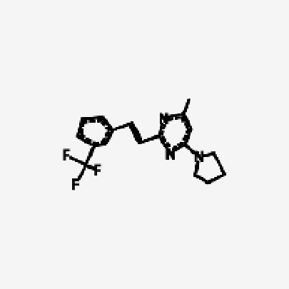 Cc1cc(N2CCCC2)nc(C=Cc2cccc(C(F)(F)F)c2)n1